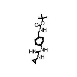 CC(C)(C)OC(=O)NCc1ccc(NC(=N)NC2CC2)cc1